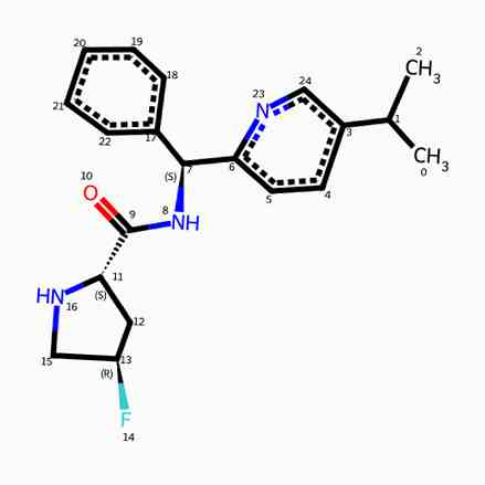 CC(C)c1ccc([C@@H](NC(=O)[C@@H]2C[C@@H](F)CN2)c2ccccc2)nc1